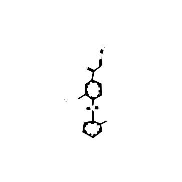 COc1cc(C(=O)C=[N+]=[N-])ccc1S(=O)(=O)c1ccccc1C